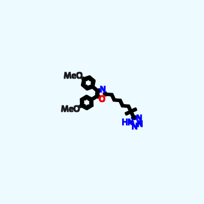 COc1ccc(-c2nc(CCCCCC(C)(C)c3nnn[nH]3)oc2-c2ccc(OC)cc2)cc1